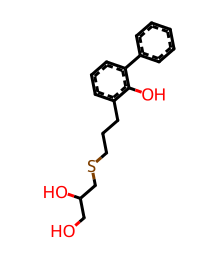 OCC(O)CSCCCc1cccc(-c2ccccc2)c1O